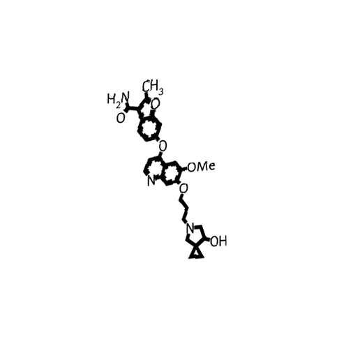 COc1cc2c(Oc3ccc4c(C(N)=O)c(C)oc4c3)ccnc2cc1OCCCN1CC(O)C2(CC2)C1